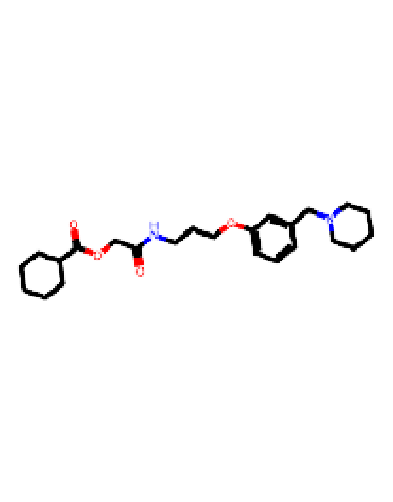 O=C(COC(=O)C1CCCCC1)NCCCOc1cccc(CN2CCCCC2)c1